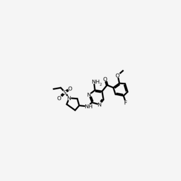 CCS(=O)(=O)N1CCC(Nc2ncc(C(=O)c3cc(F)ccc3OC)c(N)n2)C1